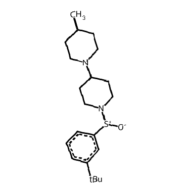 CC1CCN(C2CCN([S+]([O-])c3cccc(C(C)(C)C)c3)CC2)CC1